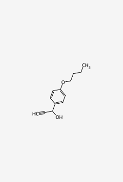 C#CC(O)c1ccc(OCCCC)cc1